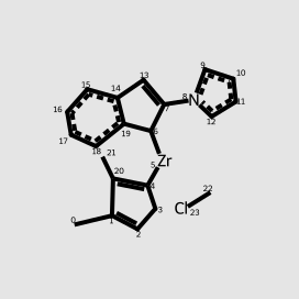 CC1=CC[C]([Zr][CH]2C(n3cccc3)=Cc3ccccc32)=C1C.CCl